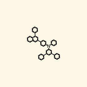 c1ccc(-c2cc(-c3ccccc3)cc(N(c3ccccc3)c3ccc(-c4cc(-c5ccccc5)c5ccccc5c4)cc3)c2)cc1